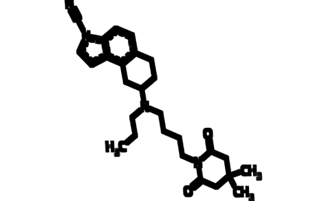 CCCN(CCCCN1C(=O)CC(C)(C)CC1=O)C1CCc2ccc3c(ccn3C#N)c2C1